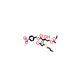 CCCCSC1CC(=O)N1/C(C(=O)OCc1ccc([N+](=O)[O-])cc1)=C(/O)CCOC(C)OCC